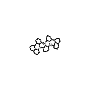 c1cc2cccc3c2c(c1)c1cccc2c1-n3c1cccc3c1n2c1cccc2c1-n3c1cccc3cccc2c31